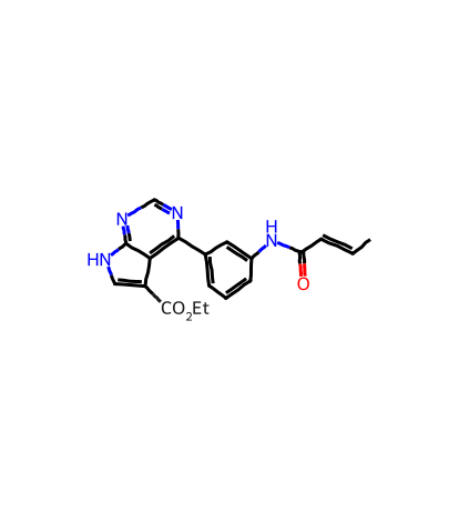 CC=CC(=O)Nc1cccc(-c2ncnc3[nH]cc(C(=O)OCC)c23)c1